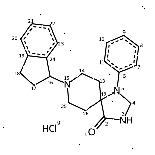 Cl.O=C1NCN(c2ccccc2)C12CCN(C1CCc3ccccc31)CC2